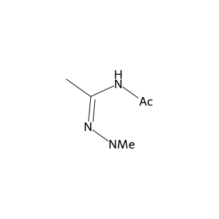 CN/N=C(/C)NC(C)=O